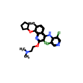 COc1ccc2c(Nc3c(Cl)cncc3Cl)c(Cl)c(OCCN(C)C)nc2c1OC1CCCC1